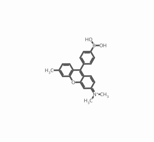 Cc1ccc2c(-c3ccc(B(O)O)cc3)c3ccc(=[N+](C)C)cc-3oc2c1